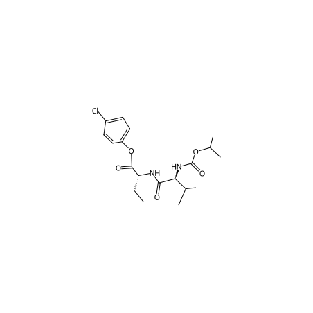 CC[C@@H](NC(=O)[C@@H](NC(=O)OC(C)C)C(C)C)C(=O)Oc1ccc(Cl)cc1